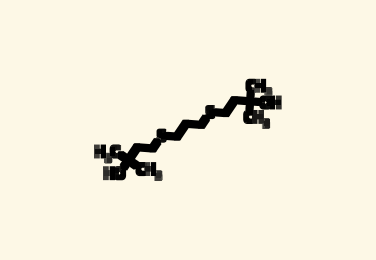 CC(C)(O)CCSCCCSCCC(C)(C)O